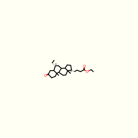 CCOC(=O)CCC[C@H]1CCC2C3C[C@@H](CC)C4CC(=O)CCC4(C)C3CCC21C